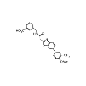 COc1ccc(-c2ccc3nc(CC(=O)NCc4cccc(C(=O)O)c4)sc3c2)cc1C